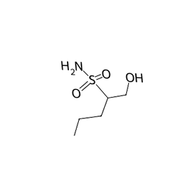 CCCC(CO)S(N)(=O)=O